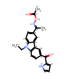 CCn1c2ccc(C(=O)c3ccc[nH]3)cc2c2cc(C(C)=NOC(C)=O)ccc21